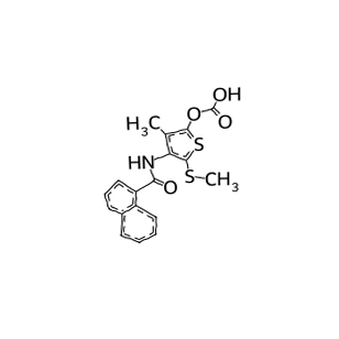 CSc1sc(OC(=O)O)c(C)c1NC(=O)c1cccc2ccccc12